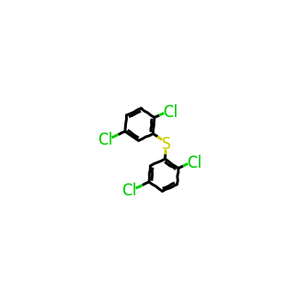 Clc1ccc(Cl)c(Sc2cc(Cl)ccc2Cl)c1